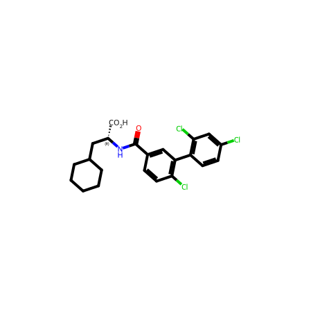 O=C(N[C@H](CC1CCCCC1)C(=O)O)c1ccc(Cl)c(-c2ccc(Cl)cc2Cl)c1